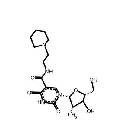 C[C@H]1C(O)[C@@H](CO)O[C@H]1n1cc(C(=O)NCCN2CCCCC2)c(=O)[nH]c1=O